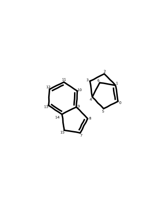 C1=C2CCC(C1)C2.C1=Cc2ccccc2C1